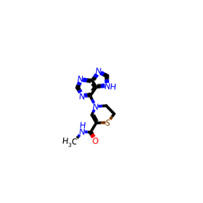 CNC(=O)C1=CN(c2ncnc3nc[nH]c23)CCS1